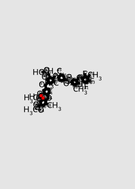 COS(=O)(=O)c1cc(C(=O)c2ccc(Oc3c(C)cc(S(=O)(=O)c4cc(C)c(Oc5c(F)c(F)c(C)c(F)c5F)c(C)c4)cc3C)c(CS(=O)(=O)O)c2)ccc1Oc1c(C)cc(S(C)(=O)=O)cc1C